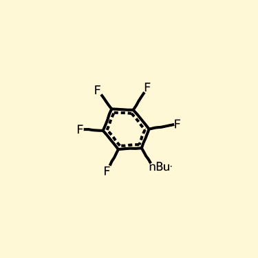 CCC[CH]c1c(F)c(F)c(F)c(F)c1F